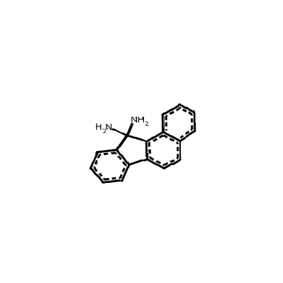 NC1(N)c2ccccc2-c2ccc3ccccc3c21